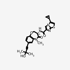 CN1C(=O)[C@@H](NC(=O)c2cn3c(C4CC4)csc3n2)COc2ccc(C#CC(C)(C)O)cc21